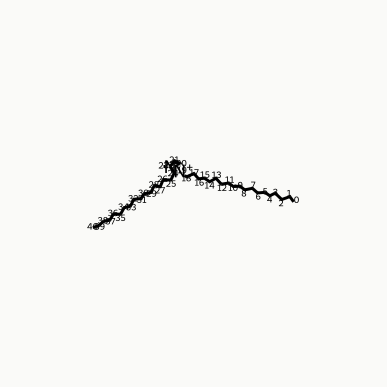 CCCCCCCCCCCCCCCCCCC[n+]1ccn(C)c1CCCCCCCCCCCCCCCC